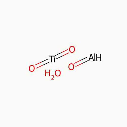 O.[O]=[AlH].[O]=[Ti]=[O]